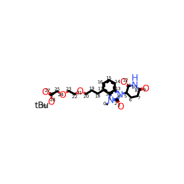 Cn1c(=O)n(C2CCC(=O)NC2=O)c2cccc(CCCOCCOCC(=O)OC(C)(C)C)c21